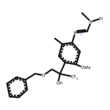 CCN(C)/C=N/c1cc(OC)c(C(O)(COCc2ccccc2)C(F)(F)F)cc1C